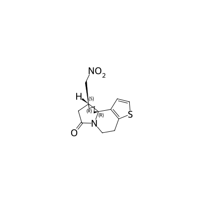 O=C1C[C@H]2[C@H](C[N+](=O)[O-])CC[C@]23c2ccsc2CCN13